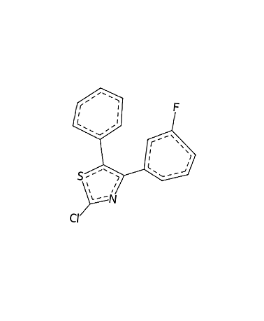 Fc1cccc(-c2nc(Cl)sc2-c2ccccc2)c1